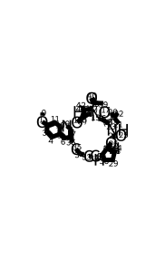 COc1ccc2cc3c(nc2c1)O[C@H]1CN(C(=O)[C@H](C(C)(C)C)NC(=O)O[C@@H]2CCC[C@H]2CCCCC3)[C@H](C(C)=O)[C@@H]1C